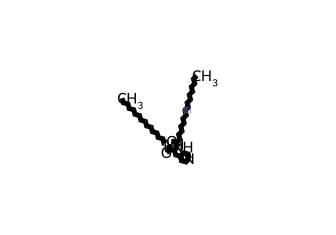 CCCCCCCC/C=C/CCCCCCCC(=O)NC(Cc1ccncc1)C(=O)NCCCCCCCCCCCCCCCC